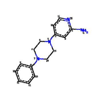 Nc1cc(N2CCN(c3cc[c]cc3)CC2)ccn1